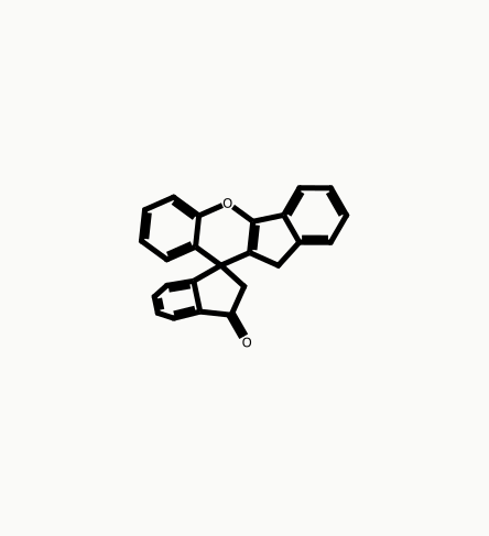 O=C1CC2(C3=C(Oc4ccccc42)c2ccccc2C3)c2ccccc21